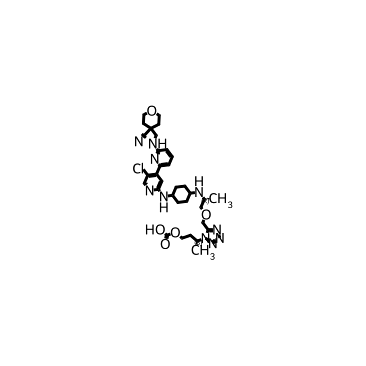 C[C@H](COCc1nnnn1[C@@H](C)CCOC(=O)O)NC1CCC(Nc2cc(-c3cccc(NCC4(C#N)CCOCC4)n3)c(Cl)cn2)CC1